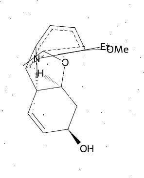 CCN1CC[C@@]23C=C[C@H](O)C[C@@H]2Oc2c(OC)ccc(c23)C1